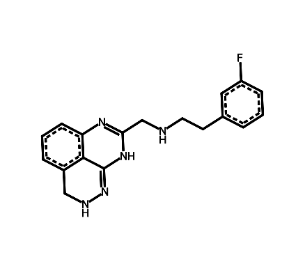 Fc1cccc(CCNCC2=Nc3cccc4c3C(=NNC4)N2)c1